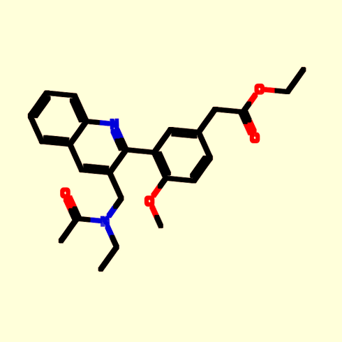 CCOC(=O)Cc1ccc(OC)c(-c2nc3ccccc3cc2CN(CC)C(C)=O)c1